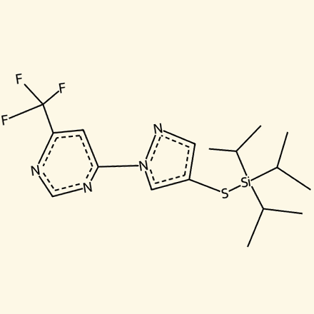 CC(C)[Si](Sc1cnn(-c2cc(C(F)(F)F)ncn2)c1)(C(C)C)C(C)C